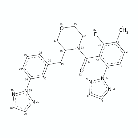 Cc1ccc(-n2nccn2)c(C(=O)N2CCOCC2Cc2cccc(-n3nccn3)c2)c1F